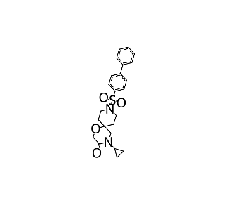 O=C1COC2(CCN(S(=O)(=O)c3ccc(-c4ccccc4)cc3)CC2)CN1C1CC1